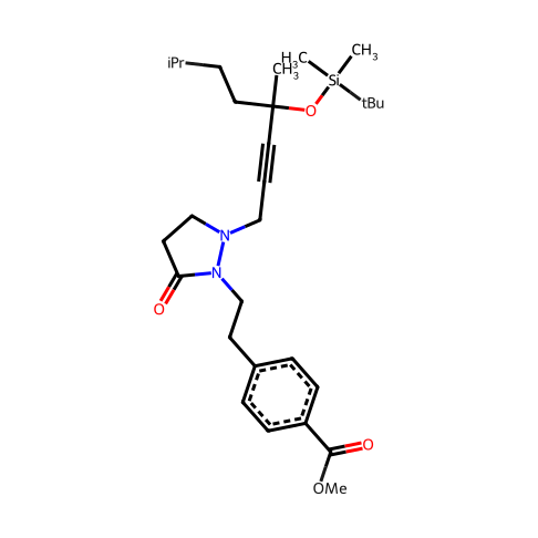 COC(=O)c1ccc(CCN2C(=O)CCN2CC#CC(C)(CCC(C)C)O[Si](C)(C)C(C)(C)C)cc1